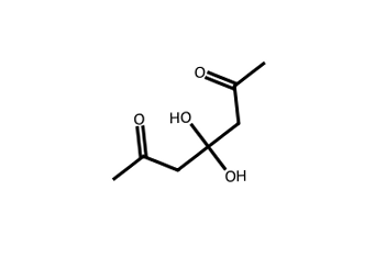 CC(=O)CC(O)(O)CC(C)=O